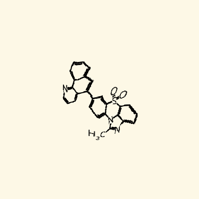 Cc1nc2cccc3c2n1-c1ccc(-c2cc4ccccc4c4ncccc24)cc1S3(=O)=O